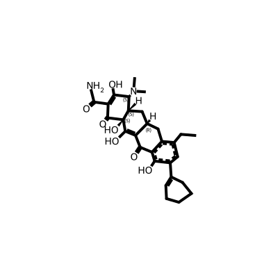 CCc1cc(C2=CCCCC2)c(O)c2c1C[C@H]1C[C@H]3[C@H](N(C)C)C(O)=C(C(N)=O)C(=O)[C@@]3(O)C(O)=C1C2=O